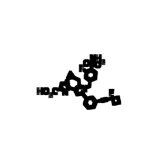 NS(=O)(=O)c1ccc(Cn2c(-c3cccc(C#CC4(F)CCC4)c3)cc(-c3nc(C(=O)O)cs3)c2CC2CC2)cc1F